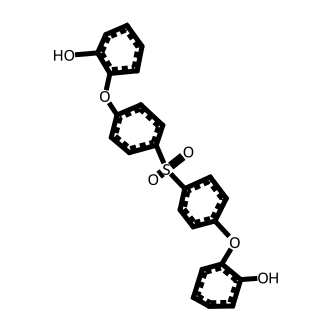 O=S(=O)(c1ccc(Oc2ccccc2O)cc1)c1ccc(Oc2ccccc2O)cc1